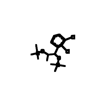 CC(O[Si](C)(C)C)C(O[Si](C)(C)C)c1cccc(Cl)c1Cl